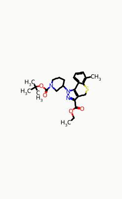 CCOC(=O)c1nn(C2CCCN(C(=O)OC(C)(C)C)C2)c2c1CSc1c(C)cccc1-2